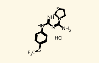 Cl.N=C(N=C(N)N1[CH]SCC1)Nc1ccc(SC(F)(F)F)cc1